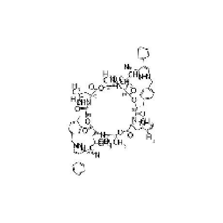 CC(C)C[C@H]1C(=O)O[C@H](Cc2ccc(Cn3cc(-c4ccccc4)c(C#N)n3)cc2)C(=O)N(C)[C@@H](CC(C)C)C(=O)O[C@H](C)C(=O)N(C)[C@@H](CC(C)C)C(=O)O[C@H](Cc2ccc(Cn3cc(-c4ccccc4)c(C#N)n3)cc2)C(=O)N(C)[C@@H](CC(C)C)C(=O)O[C@H](C)C(=O)N1C